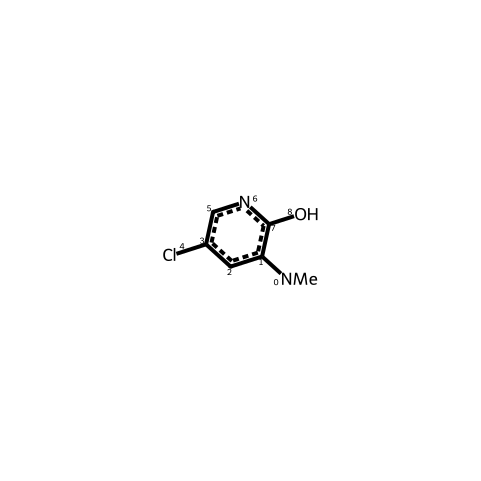 CNc1cc(Cl)cnc1O